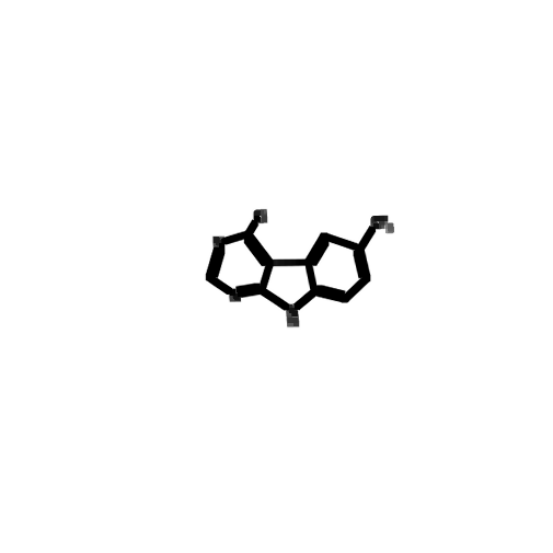 FC(F)(F)c1ccc2[nH]c3ncnc(Cl)c3c2c1